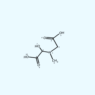 CN(CC(=O)O)C(O)C(=O)O